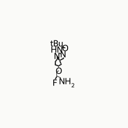 CC(C)(C)C(=O)Nc1ncc2cc(OC/C(=C/F)CN)ccc2n1